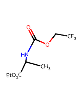 CCOC(=O)C(C)NC(=O)OCC(F)(F)F